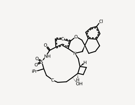 CC(C)C1CCCC[C@@H](O)[C@@H]2CC[C@H]2CN2C[C@@]3(CCCc4cc(Cl)ccc43)COc3ccc(cc32)C(=O)NS1(=O)=O